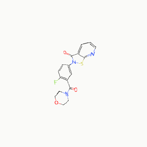 O=C(c1cc(-n2sc3ncccc3c2=O)ccc1F)N1CCOCC1